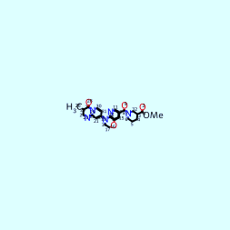 COC(=O)C1CCCN(C(=O)c2cnc3c(c2)OCCN3C2=CC3=NCC(C)C(=O)N3C=C2)C1